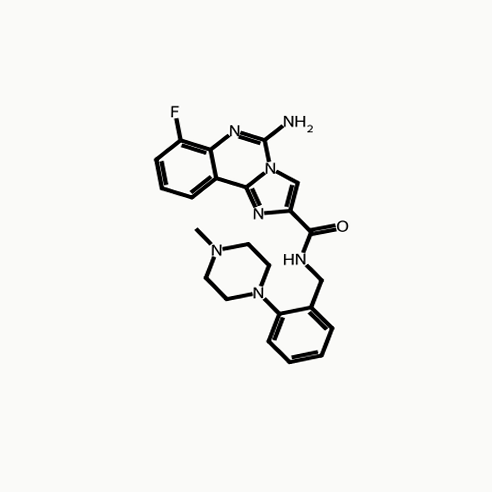 CN1CCN(c2ccccc2CNC(=O)c2cn3c(N)nc4c(F)cccc4c3n2)CC1